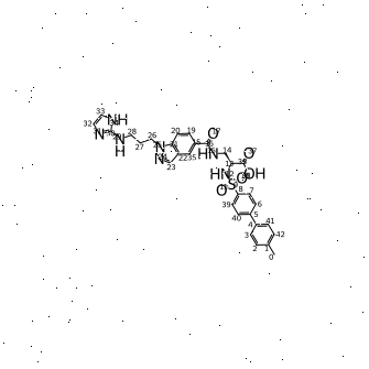 Cc1ccc(-c2ccc(S(=O)(=O)N[C@@H](CNC(=O)c3ccc4c(cnn4CCCNc4ncc[nH]4)c3)C(=O)O)cc2)cc1